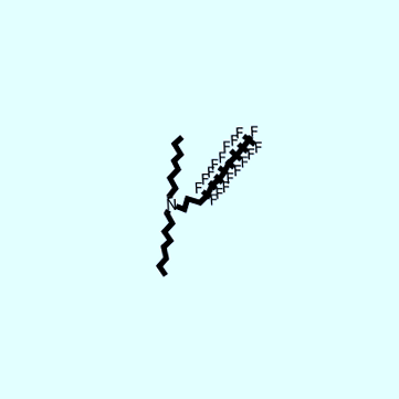 CCCCCCCCN(CCCCCCCC)CCCC(F)(F)C(F)(F)C(F)(F)C(F)(F)C(F)(F)C(F)(F)C(F)(F)C(F)(F)F